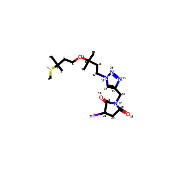 CSC(C)(C)CCOC(C)(C)CCn1cc(CN2C(=O)CC(I)C2=O)nn1